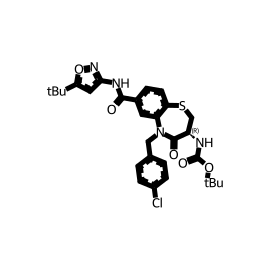 CC(C)(C)OC(=O)N[C@H]1CSc2ccc(C(=O)Nc3cc(C(C)(C)C)on3)cc2N(Cc2ccc(Cl)cc2)C1=O